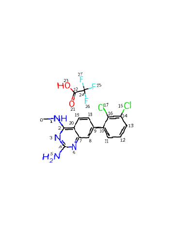 CNc1nc(N)nc2cc(-c3cccc(Cl)c3Cl)ccc12.O=C(O)C(F)(F)F